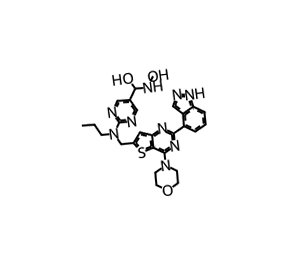 CCCN(Cc1cc2nc(-c3cccc4[nH]ncc34)nc(N3CCOCC3)c2s1)c1ncc(C(O)NO)cn1